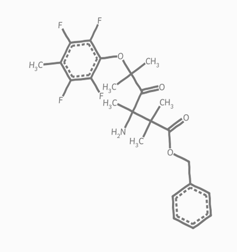 Cc1c(F)c(F)c(OC(C)(C)C(=O)C(C)(N)C(C)(C)C(=O)OCc2ccccc2)c(F)c1F